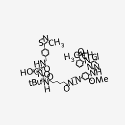 COc1cc(N2CCN(C(=O)CCCCC(=O)N[C@H](C(=O)N3C[C@H](O)C[C@H]3C(=O)NCc3ccc(-c4scnc4C)cc3)C(C)(C)C)CC2)ccc1Nc1ncc(Cl)c(Nc2ccccc2P(C)(C)=O)n1